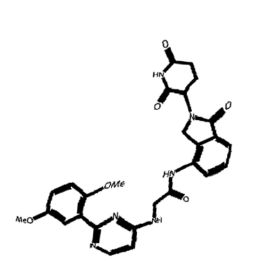 COc1ccc(OC)c(-c2nccc(NCC(=O)Nc3cccc4c3CN(C3CCC(=O)NC3=O)C4=O)n2)c1